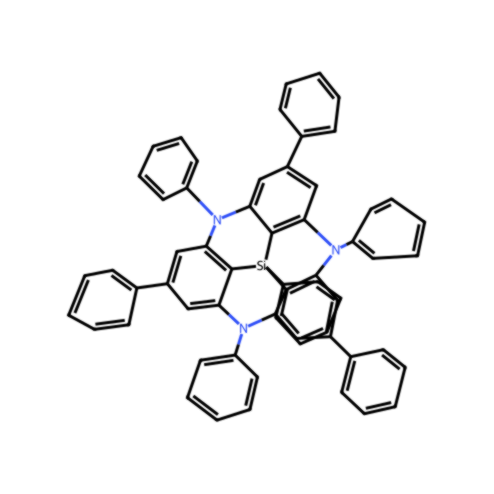 c1ccc(-c2cc3c4c(c2)N(c2ccccc2)c2cc(-c5ccccc5)cc5c2[Si]4(c2ccccc2)c2c(cc(-c4ccccc4)cc2N5c2ccccc2)N3c2ccccc2)cc1